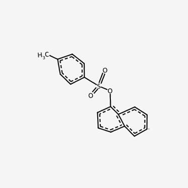 Cc1ccc(S(=O)(=O)Oc2cccc3c[c]ccc23)cc1